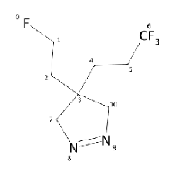 FCCC1(CCC(F)(F)F)CN=NC1